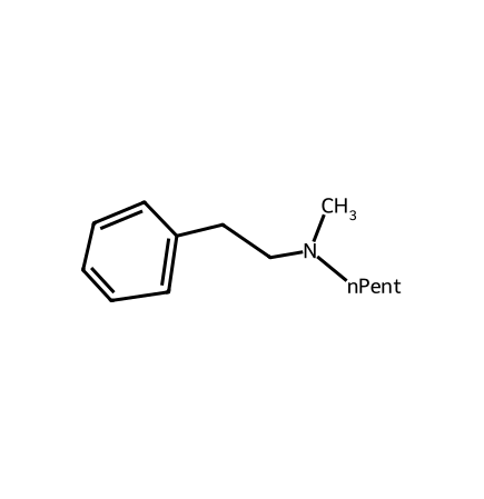 CCCCCN(C)CCc1ccccc1